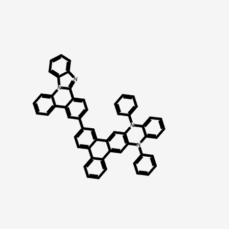 c1ccc(N2c3ccccc3N(c3ccccc3)c3cc4c5cc(-c6ccc7c(c6)c6ccccc6n6c8ccccc8nc76)ccc5c5ccccc5c4cc32)cc1